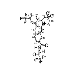 O=C(NNC(=O)C(F)(F)F)c1ccc(CN(C(=O)N2CCS(=O)(=O)CC2)c2cccc(C(F)(F)F)n2)cc1